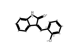 O=C1Nc2ccccc2C1=Cc1ccccc1Cl